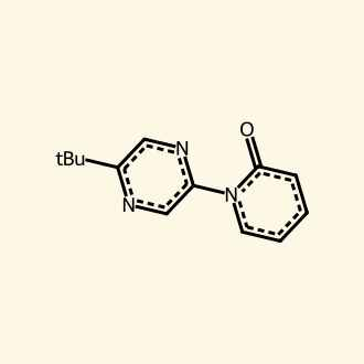 CC(C)(C)c1cnc(-n2ccccc2=O)cn1